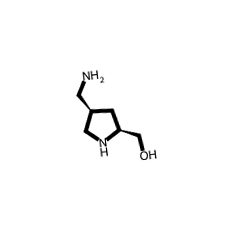 NC[C@@H]1CN[C@H](CO)C1